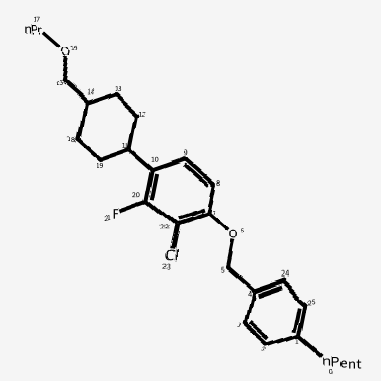 CCCCCc1ccc(COc2ccc(C3CCC(COCCC)CC3)c(F)c2Cl)cc1